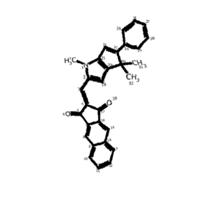 Cn1c(C=C2C(=O)c3cc4ccccc4cc3C2=O)cc2c1C=C(c1ccccc1)C2(C)C